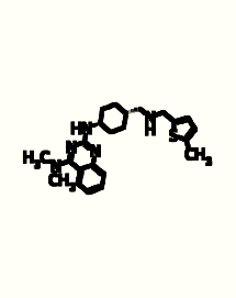 Cc1ccc(CNC[C@H]2CC[C@@H](Nc3nc(N(C)C)c4ccccc4n3)CC2)s1